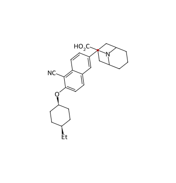 CC[C@H]1CC[C@@H](Oc2ccc3cc(CN4C5CCCC4CC(C(=O)O)C5)ccc3c2C#N)CC1